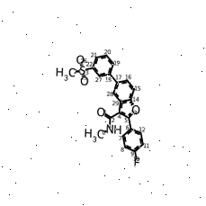 CNC(=O)c1c(-c2ccc(F)cc2)oc2ccc(-c3cccc(S(C)(=O)=O)c3)cc12